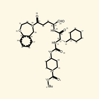 CC(C)(C)OC(=O)N1CCC(OC(=O)N[C@@H](CC2CCCCC2)C(=O)N[C@H](C=O)CCC(=O)N2CCOc3ccccc3C2)CC1